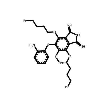 CCCCCSc1c(OCCCCC(C)C)c2c(c(OCCCCC(C)C)c1Sc1ccccc1N)C(=N)NC2=N